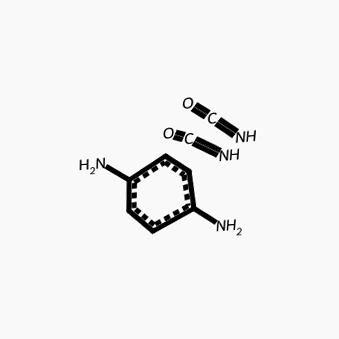 N=C=O.N=C=O.Nc1ccc(N)cc1